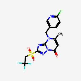 Cc1cc(=O)n2nc(S(=O)(=O)CC(F)(F)F)nc2n1Cc1ccc(Cl)nc1